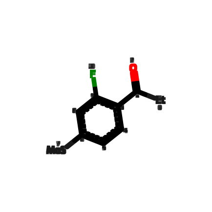 CCC(=O)c1ccc(SC)cc1F